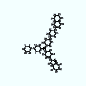 c1ccc(-c2ccc(N(c3ccc(-c4ccc(-c5ccc6ccccc6c5)cc4)cc3)c3ccc(-c4cc5ccccc5s4)cc3)cc2)cc1